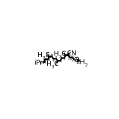 C/C(CCCC(C)CCCC(C)CCCC(C)C)=C(\C#N)CCCOP